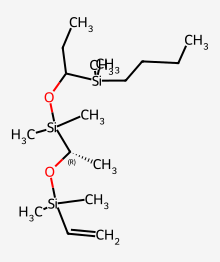 C=C[Si](C)(C)O[C@@H](C)[Si](C)(C)OC(CC)[Si](C)(C)CCCC